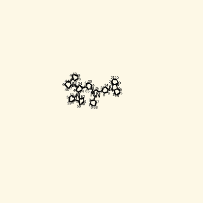 c1ccc(-c2nc(-c3ccc(-n4c5ccccc5c5ccccc54)cc3)cc(-c3cccc(-c4cc(-n5c6ccccc6c6ccccc65)cc(-n5c6ccccc6c6ccccc65)c4)c3)n2)cc1